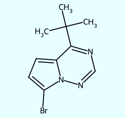 CC(C)(C)c1ncnn2c(Br)ccc12